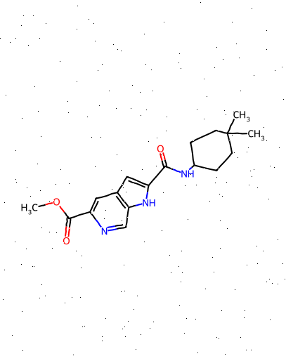 COC(=O)c1cc2cc(C(=O)NC3CCC(C)(C)CC3)[nH]c2cn1